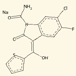 NC(=O)N1C(=O)C(=C(O)c2cccs2)c2cc(F)c(Cl)cc21.[Na]